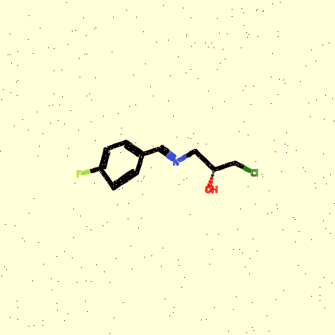 O[C@@H](CCl)C/N=C/c1ccc(F)cc1